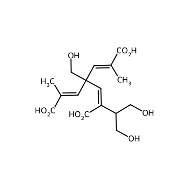 CC(=CC(C=C(C)C(=O)O)(C=C(C(=O)O)C(CO)CO)CO)C(=O)O